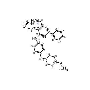 CCN1CCN(Cc2ccc(Nc3nc(-c4ccccc4)nc(/C=N\NC=O)c3C)cc2)CC1